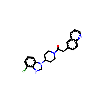 O=C(Cc1ccc2ncccc2c1)N1CCC(N2CNc3c(Cl)cccc32)CC1